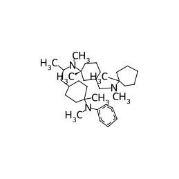 CC(CC1CCC(C)(N(C)c2ccccc2)CC1)N(C)[C@]1(C)CCCC(CN(C)C2(C)CCCCC2)C1